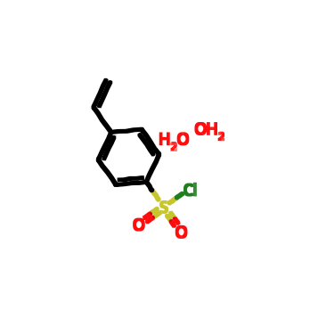 C=Cc1ccc(S(=O)(=O)Cl)cc1.O.O